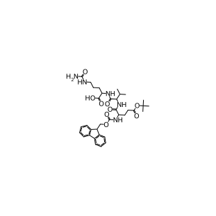 CC(C)C(NC(=O)C(CCC(=O)OC(C)(C)C)NC(=O)OCC1c2ccccc2-c2ccccc21)C(=O)NC(CCCNC(N)=O)C(=O)O